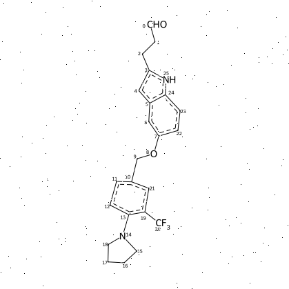 O=CCCc1cc2cc(OCc3ccc(N4CCCC4)c(C(F)(F)F)c3)ccc2[nH]1